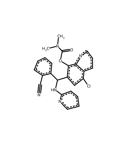 CN(C)C(=O)Oc1c(C(Nc2ccccn2)c2ccccc2C#N)cc(Cl)c2cccnc12